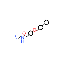 CN(C)CCNC(=O)Cc1ccc(OCc2ccc(-c3ccccc3)cc2)cc1